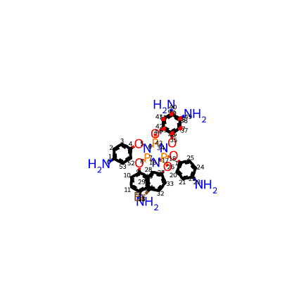 Nc1ccc(ON2P(Oc3ccc(N)cc3)N=P(Oc3ccc(N)cc3)(Oc3ccc(Br)cc3)N(Oc3ccc(N)cc3)P2Oc2ccc(N)cc2)cc1